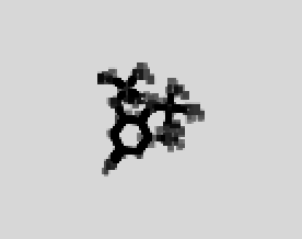 C[C@@H]1CC(=O)C[C@@H](O[Si](C)(C)C(C)(C)C)C1O[Si](C)(C)C